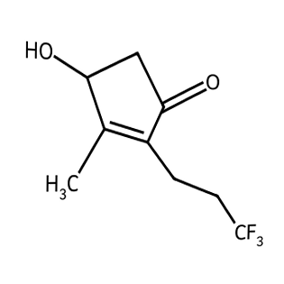 CC1=C(CCC(F)(F)F)C(=O)CC1O